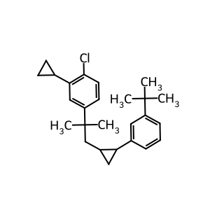 CC(C)(C)c1cccc(C2CC2CC(C)(C)c2ccc(Cl)c(C3CC3)c2)c1